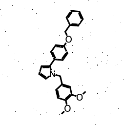 COc1ccc(Cn2cccc2-c2ccc(OCc3ccccc3)cc2)cc1OC